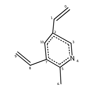 C=Cc1cnc(C)c(C=C)c1